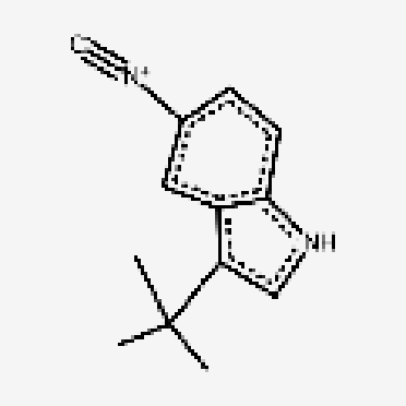 [C-]#[N+]c1ccc2[nH]cc(C(C)(C)C)c2c1